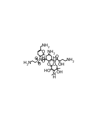 CN[C@@H]1[C@@H](O)[C@@H](O[C@H]2[C@H](NC(=O)[C@@H](O)CCN)C[C@H](N)C([C@H]3OC(CN)=CC[C@H]3NS(=O)(=O)CCN)[C@@H]2O)OC[C@]1(C)O